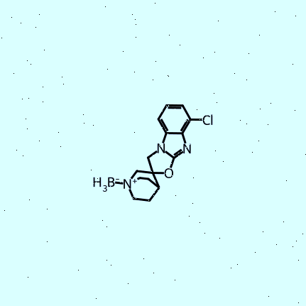 [BH3-][N+]12CCC(CC1)C1(Cn3c(nc4c(Cl)cccc43)O1)C2